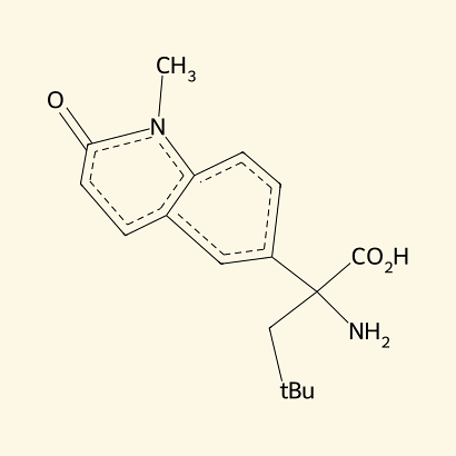 Cn1c(=O)ccc2cc(C(N)(CC(C)(C)C)C(=O)O)ccc21